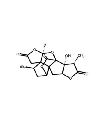 C[C@@H]1C(=O)OC2CC34C5C[C@@H](C(C)(C)C)C36CC(=O)O[C@H]6OC4(C(=O)O5)[C@]21O